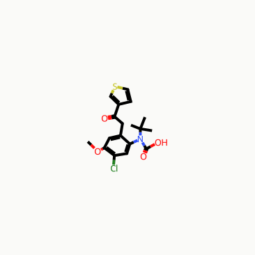 COc1cc(CC(=O)c2ccsc2)c(N(C(=O)O)C(C)(C)C)cc1Cl